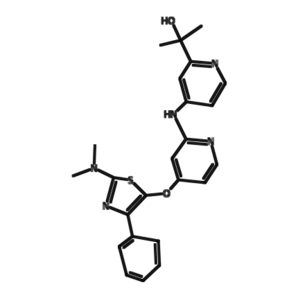 CN(C)c1nc(-c2ccccc2)c(Oc2ccnc(Nc3ccnc(C(C)(C)O)c3)c2)s1